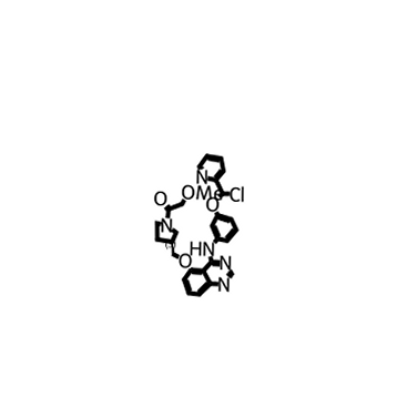 COCC(=O)N1CC[C@H](COc2cccc3ncnc(Nc4cccc(OC(Cl)c5ccccn5)c4)c23)C1